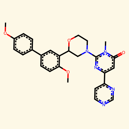 COc1ccc(-c2ccc(OC)c(C3CN(c4nc(-c5ccncn5)cc(=O)n4C)CCO3)c2)cc1